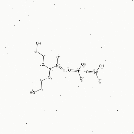 O=[N+]([O-])N(OCCO)OCCO.O=[N+]([O-])O.O=[N+]([O-])O